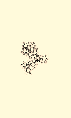 CC1(n2c3ccccc3c3ccccc32)C=CC=C(c2nc(-c3ccccc3)nc(-c3ccc(-c4cccc(-c5ccccc5)c4-n4c5ccccc5c5ccccc54)cc3)n2)C1